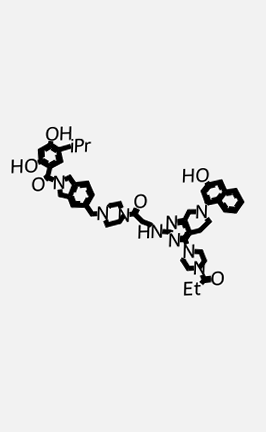 CCC(=O)N1CCN(c2nc(NCCC(=O)N3CCN(Cc4ccc5c(c4)CN(C(=O)c4cc(C(C)C)c(O)cc4O)C5)CC3)nc3c2CCN(c2cc(O)cc4ccccc24)C3)CC1